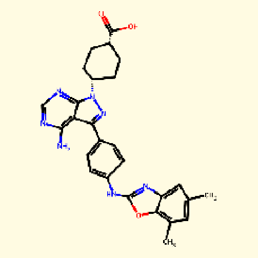 Cc1cc(C)c2oc(Nc3ccc(-c4nn([C@H]5CC[C@@H](C(=O)O)CC5)c5ncnc(N)c45)cc3)nc2c1